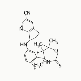 CC1(C)OCC(=S)NC(C)(c2cc(NC3CCc4cc(C#N)cnc43)ccc2F)C1(F)F